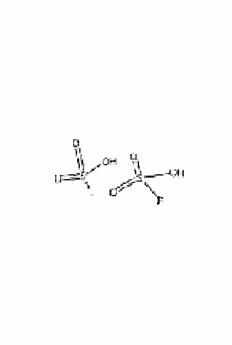 O=S(=O)(O)F.O=S(=O)(O)F